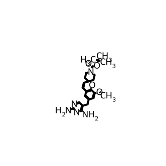 COc1cc(Cc2cnc(N)nc2N)cc2c1OC1(C=C2)CCN(C(=O)OC(C)(C)C)CC1